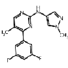 Cc1cnc(Nc2cnn(C)c2)nc1-c1cc(F)cc(F)c1